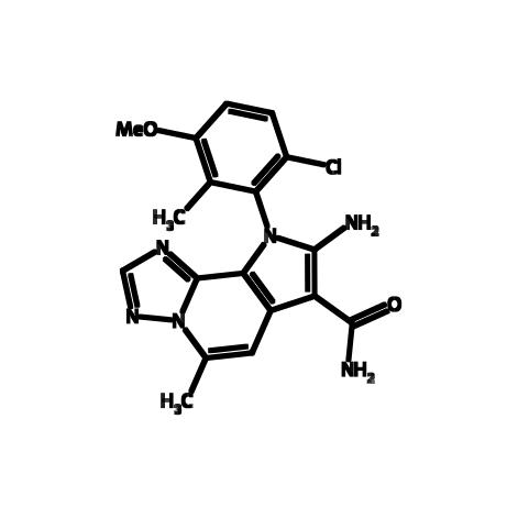 COc1ccc(Cl)c(-n2c(N)c(C(N)=O)c3cc(C)n4ncnc4c32)c1C